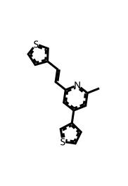 Cc1cc(-c2ccsc2)cc(C=Cc2ccsc2)n1